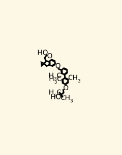 Cc1cc(OCCC(C)(C)O)cc(C)c1-c1cccc(COc2ccc3c(c2)CC2(CC2)C3CC(=O)O)c1C